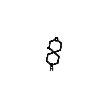 [CH]1COCCC12CCNCC2